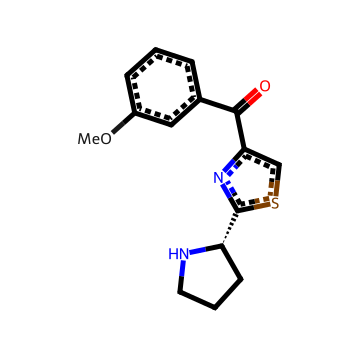 COc1cccc(C(=O)c2csc([C@@H]3CCCN3)n2)c1